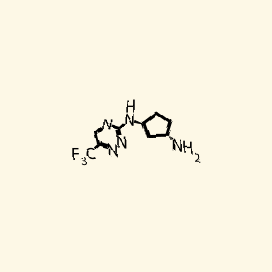 N[C@H]1CC[C@H](Nc2ncc(C(F)(F)F)nn2)C1